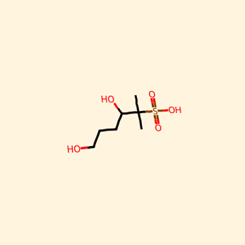 CC(C)(C(O)CCCO)S(=O)(=O)O